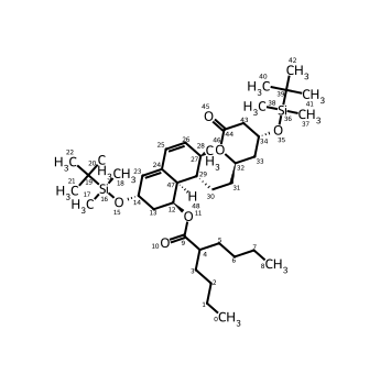 CCCCC(CCCC)C(=O)O[C@H]1C[C@H](O[Si](C)(C)C(C)(C)C)C=C2C=C[C@@H](C)[C@H](CC[C@@H]3C[C@@H](O[Si](C)(C)C(C)(C)C)CC(=O)O3)[C@H]21